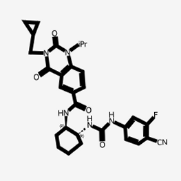 CC(C)n1c(=O)n(CC2CC2)c(=O)c2cc(C(=O)N[C@@H]3CCCC[C@H]3NC(=O)Nc3ccc(C#N)c(F)c3)ccc21